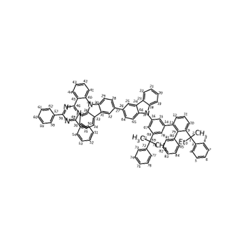 CCC(C)(c1ccccc1)c1cccc(-c2cc(-n3c4ccccc4c4cc(-c5ccc6c(c5)c5ccccc5n6-c5ccccc5-c5nc(-c6ccccc6)nc(-c6ccccc6)n5)ccc43)cc(C(C)(C)c3ccccc3)c2)c1-c1ccccc1